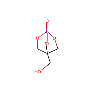 O=P12OCC(CO)(CO1)CO2